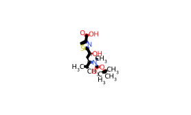 CC(C)[C@@H](C[C@H](O)c1nc(C(=O)O)cs1)N(C)C(=O)OC(C)(C)C